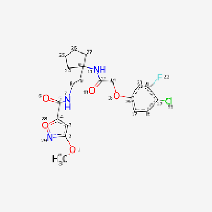 COc1cc(C(=O)NCCC2(NC(=O)COc3ccc(Cl)c(F)c3)CCCC2)on1